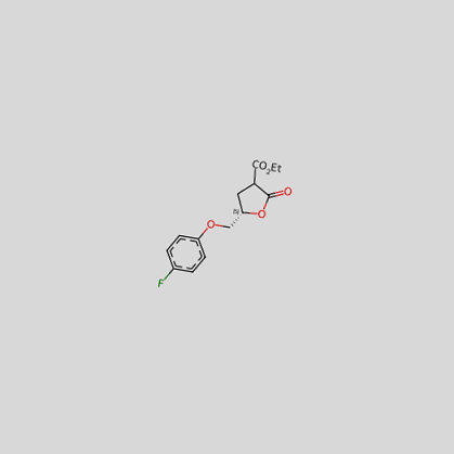 CCOC(=O)C1C[C@@H](COc2ccc(F)cc2)OC1=O